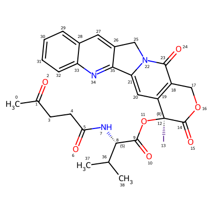 CC(=O)CCC(=O)N[C@H](C(=O)O[C@]1(I)C(=O)OCc2c1cc1n(c2=O)Cc2cc3ccccc3nc2-1)C(C)C